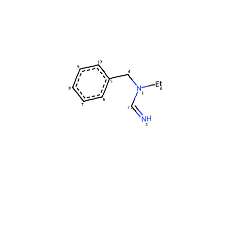 CCN([C]=N)Cc1ccccc1